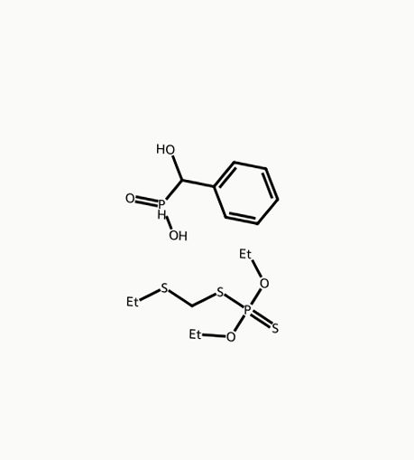 CCOP(=S)(OCC)SCSCC.O=[PH](O)C(O)c1ccccc1